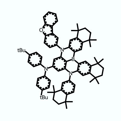 CC(C)(C)c1ccc(N(c2ccc(C(C)(C)C)cc2)c2cc3c4c(c2)N(c2ccc5oc6ccccc6c5c2)c2cc5c(cc2B4c2cc4c(cc2N3c2ccc3c(c2)C(C)(C)CCC3(C)C)C(C)(C)CCC4(C)C)C(C)(C)CCC5(C)C)cc1